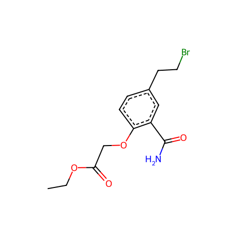 CCOC(=O)COc1ccc(CCBr)cc1C(N)=O